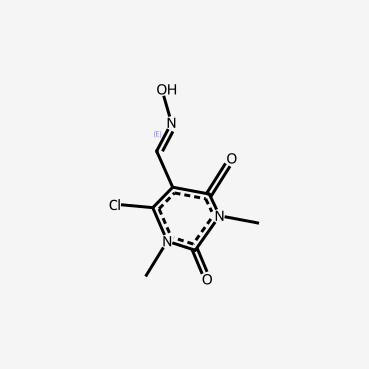 Cn1c(Cl)c(/C=N/O)c(=O)n(C)c1=O